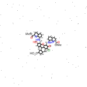 COC(=O)c1ccc2cccc(NCc3c4oc5c(CNc6cccc7ccc(C(=O)OC)nc67)c(O)ccc5c(-c5cc(C(=O)O)ccc5C(C)=O)c-4cc(Cl)c3=O)c2n1